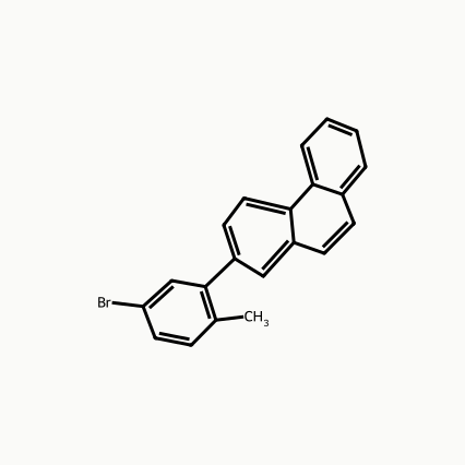 Cc1ccc(Br)cc1-c1ccc2c(ccc3ccccc32)c1